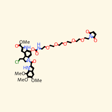 COC(=O)c1cc2c3c(cc(OC(=O)NCCOCCOCCOCCOCCOCCN4C(=O)C=CC4=O)c2[nH]1)N(C(=O)c1cc2cc(OC)c(OC)c(OC)c2[nH]1)CC3CCl